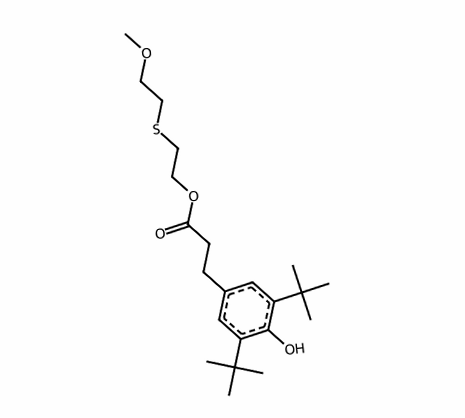 COCCSCCOC(=O)CCc1cc(C(C)(C)C)c(O)c(C(C)(C)C)c1